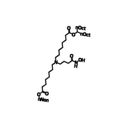 CCCCCCCCCOC(=O)CCCCCCCN(CCCCCCCC(=O)OC(CCCCCCCC)CCCCCCCC)CCCC(=O)NO